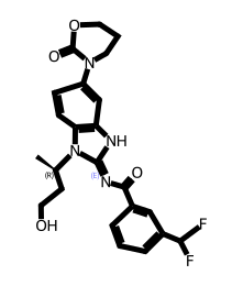 C[C@H](CCO)n1/c(=N/C(=O)c2cccc(C(F)F)c2)[nH]c2cc(N3CCCOC3=O)ccc21